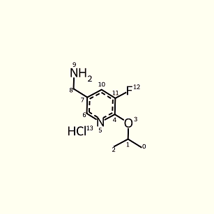 CC(C)Oc1ncc(CN)cc1F.Cl